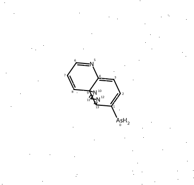 [AsH2]C1=CC=C2N=CC=CC23N=CN=C13